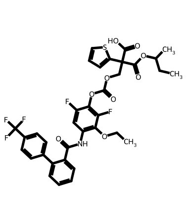 CCOc1c(NC(=O)c2ccccc2-c2ccc(C(F)(F)F)cc2)cc(F)c(OC(=O)OCC(C(=O)O)(C(=O)OC(C)CC)c2cccs2)c1F